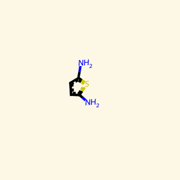 Nc1ccc(N)s1